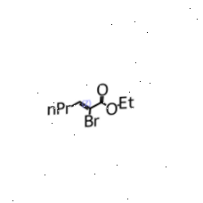 CCC/C=C(\Br)C(=O)OCC